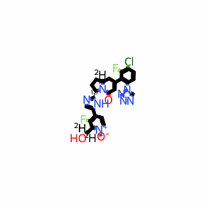 [2H]C([2H])(O)c1c(F)c(-c2cnc([C@@H]3CC[C@]4([2H])CC(c5c(-n6cnnn6)ccc(Cl)c5F)=CC(=O)N34)[nH]2)cc[n+]1[O-]